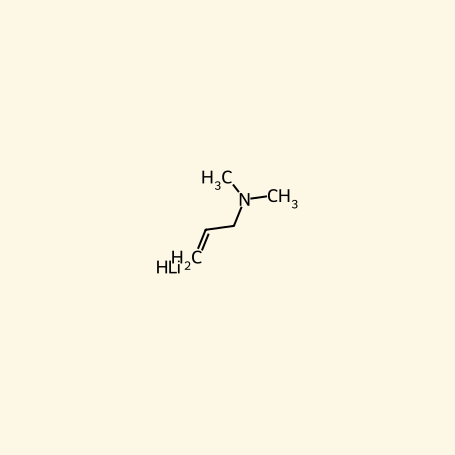 C=CCN(C)C.[LiH]